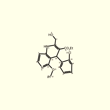 CCOC(=O)C1=C(CO)Nc2ccnc(OC(C)C)c2C1c1ccccc1Cl